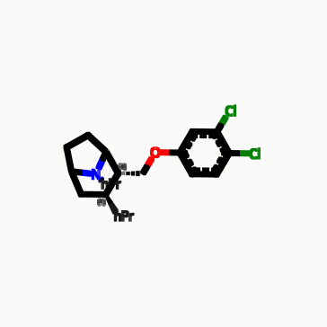 CCC[C@H]1CC2CCC([C@@H]1COc1ccc(Cl)c(Cl)c1)N2CCC